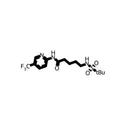 CC(C)(C)S(=O)(=O)NCCCCC(=O)Nc1ccc(C(F)(F)F)cn1